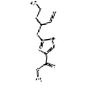 CCCC(C=O)Sc1nc(C(=O)OC)c[nH]1